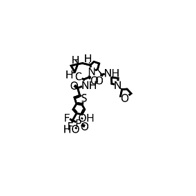 O=C(N[C@H]1C[C@@H]2C[C@@H]2C[C@H]2CC[C@@H](C(=O)NC3CN([C@H]4CCOC4)C3)N2C1=O)c1cc2cc(C(F)(F)P(=O)(O)O)ccc2s1